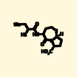 CC(C)(C)CC(S)C(=O)N[C@H]1CCS[C@H]2CC[C@@H](C(=O)O)N2C1=O